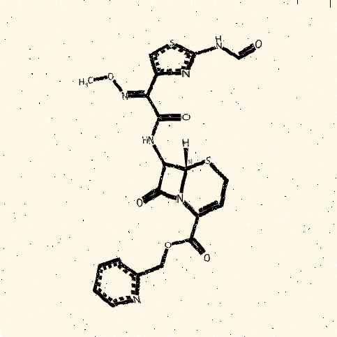 CON=C(C(=O)NC1C(=O)N2C(C(=O)OCc3ccccn3)=CCS[C@@H]12)c1csc(NC=O)n1